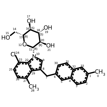 Cc1ccc2cc(Cc3cn([C@@H]4O[C@H](CO)[C@@H](O)[C@H](O)[C@H]4O)c4c(Cl)ccc(C)c34)ccc2c1